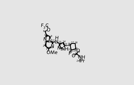 COc1cc2nc(COC(F)(F)F)cn2c(Nc2cc([C@H]3CC[C@@H](OC(=O)NC(C)C)[C@H]3F)[nH]n2)n1